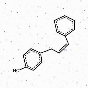 Oc1ccc(C/C=C\c2ccccc2)cc1